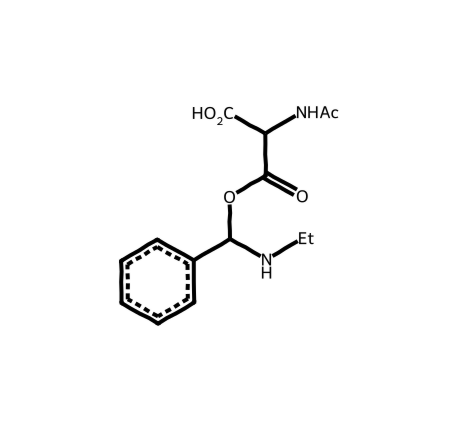 CCNC(OC(=O)C(NC(C)=O)C(=O)O)c1ccccc1